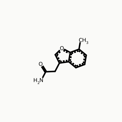 Cc1cccc2c(CC(N)=O)coc12